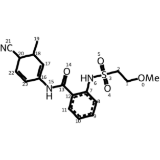 COCCS(=O)(=O)Nc1ccccc1C(=O)NC1=CC(C)C(C#N)C=C1